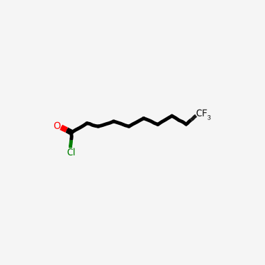 O=C(Cl)CCCCCCCCC(F)(F)F